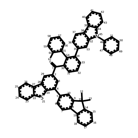 C=C(c1cc(-c2ccc3c(c2)C(C)(C)c2ccccc2-3)c2sc3ccccc3c2c1)c1cccc(-c2ccc3c4ccccc4n(-c4ccccc4)c3c2)c1-c1ccccc1C